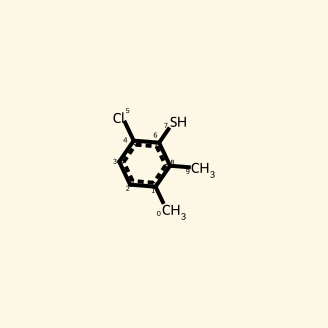 Cc1ccc(Cl)c(S)c1C